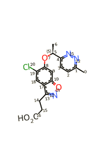 Cc1ccc([C@H](C)Oc2cc3onc(CCC(=O)O)c3cc2Cl)nn1